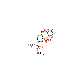 COC(=O)C(C)c1ccc2c(c1)S(=O)(=O)c1ccccc1S2(=O)=O